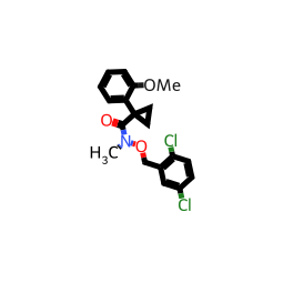 COc1ccccc1C1(C(=O)N(C)OCc2cc(Cl)ccc2Cl)CC1